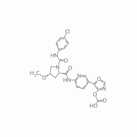 CO[C@@H]1C[C@H](C(=O)Nc2ccc(-c3ocnc3OC(=O)O)cn2)N(C(=O)Nc2ccc(Cl)cc2)C1